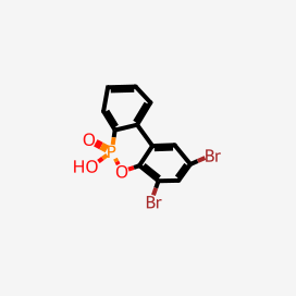 O=P1(O)Oc2c(Br)cc(Br)cc2-c2ccccc21